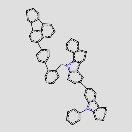 c1ccc(-n2c3ccccc3c3ccc(-c4ccc5c(c4)c4ccc6ccccc6c4n5Cc4ccccc4-c4ccc(-c5ccc6c7c(cccc57)-c5ccccc5-6)cc4)cc32)cc1